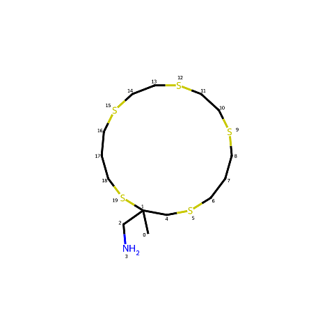 CC1(CN)CSCCCSCCSCCSCCCS1